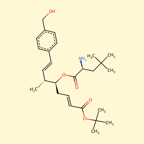 C[C@H](/C=C/c1ccc(CO)cc1)[C@H](C/C=C/C(=O)OC(C)(C)C)OC(=O)[C@@H](N)CC(C)(C)C